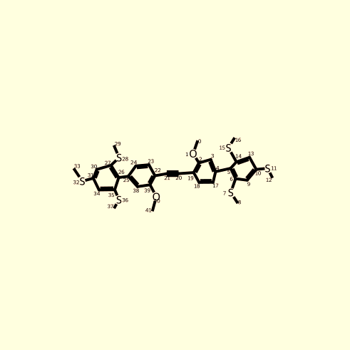 COc1cc(-c2c(SC)cc(SC)cc2SC)ccc1C#Cc1ccc(-c2c(SC)cc(SC)cc2SC)cc1OC